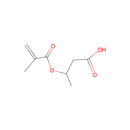 C=C(C)C(=O)OC(C)CC(=O)O